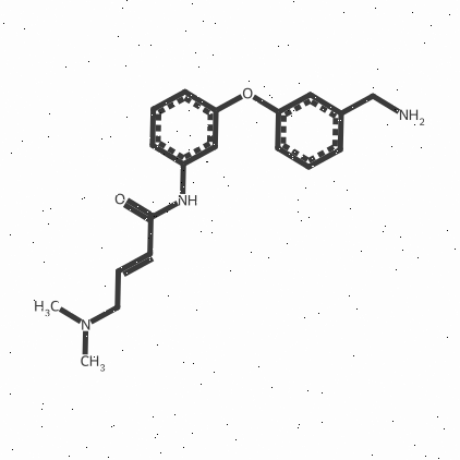 CN(C)C/C=C/C(=O)Nc1cccc(Oc2cccc(CN)c2)c1